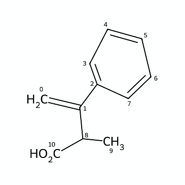 C=C(c1ccccc1)C(C)C(=O)O